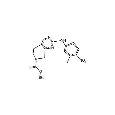 Cc1cc(Nc2ncc3c(n2)CN(C(=O)OC(C)(C)C)CC3)ccc1[N+](=O)[O-]